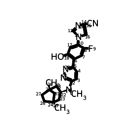 CN(c1ccc(-c2cc(F)c(-n3cnc(C#N)c3)cc2O)nn1)[C@H]1C[C@]2(C)CC[C@](C)(C1)C2